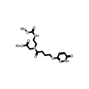 COC(=O)CN(CCNC(=O)OC(C)(C)C)C(=O)CCCOc1ccc(=O)[nH]n1